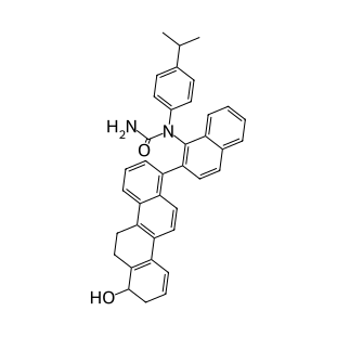 CC(C)c1ccc(N(C(N)=O)c2c(-c3cccc4c5c(ccc34)C3=C(CC5)C(O)CC=C3)ccc3ccccc23)cc1